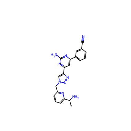 C[C@H](N)c1cccc(Cn2cc(-c3cc(-c4cccc(C#N)c4)nc(N)n3)nn2)n1